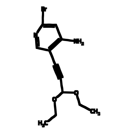 CCOC(C#Cc1cnc(Br)cc1N)OCC